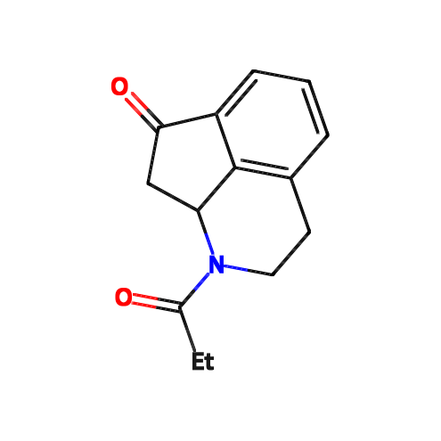 CCC(=O)N1CCc2cccc3c2C1CC3=O